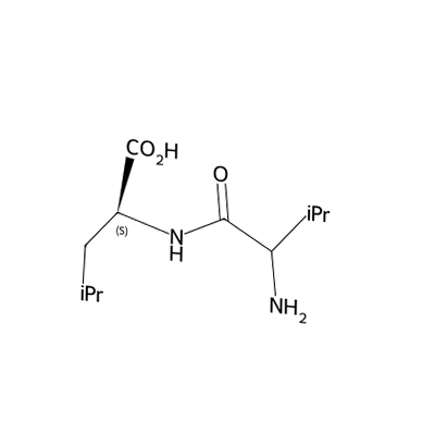 CC(C)C[C@H](NC(=O)C(N)C(C)C)C(=O)O